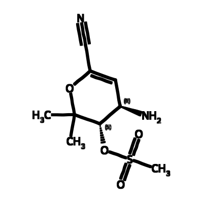 CC1(C)OC(C#N)=C[C@@H](N)[C@@H]1OS(C)(=O)=O